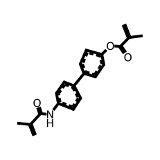 C=C(C)C(=O)Nc1ccc(-c2ccc(OC(=O)C(=C)C)cc2)cc1